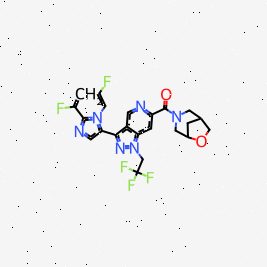 C=C(F)c1ncc(-c2nn(CC(F)(F)F)c3cc(C(=O)N4CC5COC(C5)C4)ncc23)n1/C=C/F